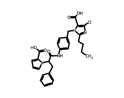 CCCCc1nc(Cl)c(C(=O)O)n1Cc1ccc(NC(=O)C(Cc2ccccc2)n2cccc2C(=O)O)cc1